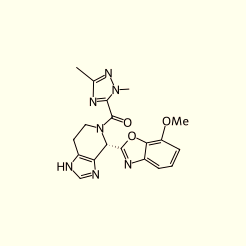 COc1cccc2nc([C@@H]3c4nc[nH]c4CCN3C(=O)c3nc(C)nn3C)oc12